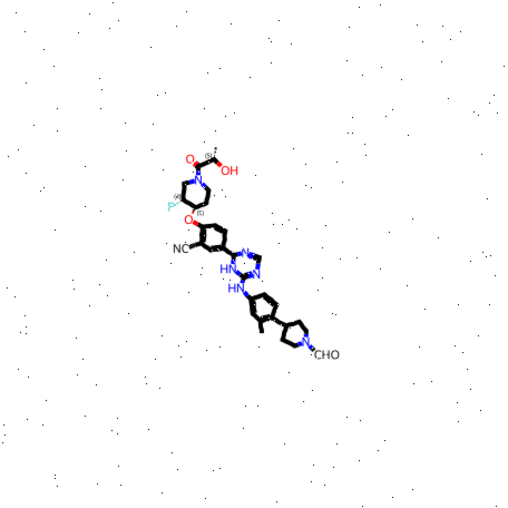 Cc1cc(NC2=NC=NC(c3ccc(O[C@H]4CCN(C(=O)[C@H](C)O)C[C@H]4F)c(C#N)c3)N2)ccc1C1CCN(C=O)CC1